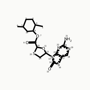 CC1CCC(C)C(OC(=O)C2OC(n3c(=O)sc4cnc(N)nc43)CS2)C1